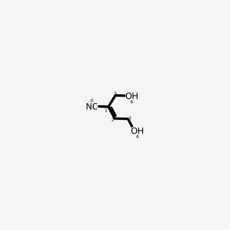 N#CC(=CCO)CO